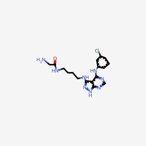 NCC(=O)NCCCCNc1n[nH]c2ncnc(Nc3cccc(Cl)c3)c12